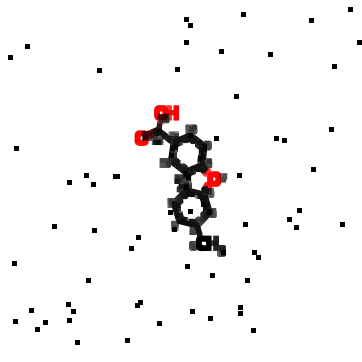 Cc1ccc2c(c1)oc1ccc(C(=O)O)cc12